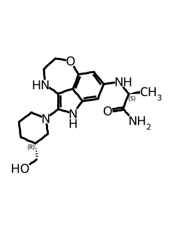 C[C@H](Nc1cc2c3c(c(N4CCC[C@@H](CO)C4)[nH]c3c1)NCCO2)C(N)=O